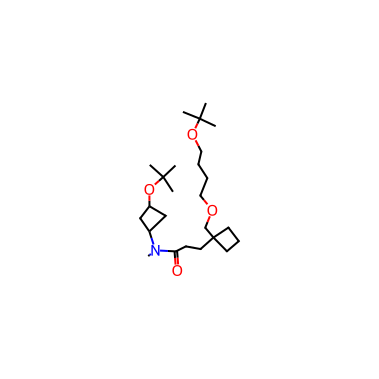 CN(C(=O)CCC1(COCCCCOC(C)(C)C)CCC1)C1CC(OC(C)(C)C)C1